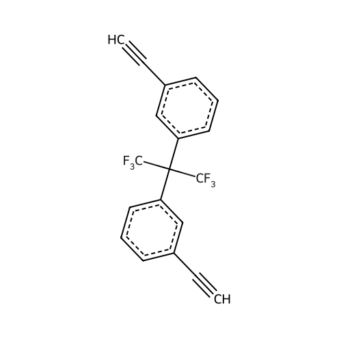 C#Cc1cccc(C(c2cccc(C#C)c2)(C(F)(F)F)C(F)(F)F)c1